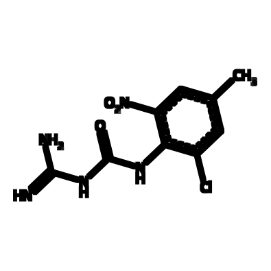 Cc1cc(Cl)c(NC(=O)NC(=N)N)c([N+](=O)[O-])c1